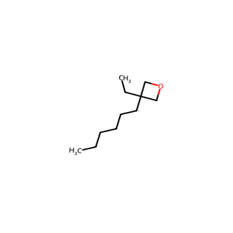 CCCCC[CH]C1(CC)COC1